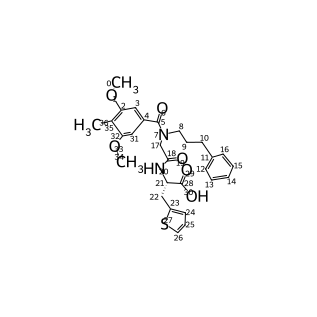 COc1cc(C(=O)N(CCCc2ccccc2)CC(=O)N[C@@H](Cc2cccs2)C(=O)O)cc(OC)c1C